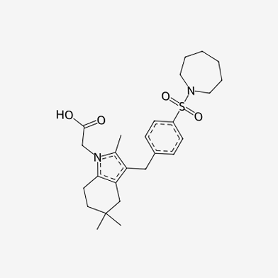 Cc1c(Cc2ccc(S(=O)(=O)N3CCCCCC3)cc2)c2c(n1CC(=O)O)CCC(C)(C)C2